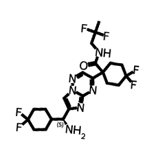 CC(F)(F)CNC(=O)C1(c2cnn3cc([C@@H](N)C4CCC(F)(F)CC4)nc3n2)CCC(F)(F)CC1